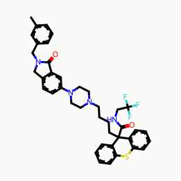 Cc1cccc(CN2Cc3ccc(N4CCN(CCCCC5(C(=O)NCC(F)(F)F)c6ccccc6Sc6ccccc65)CC4)cc3C2=O)c1